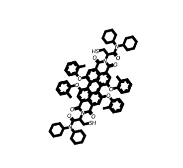 Cc1ccccc1Oc1cc2c3c(cc(Oc4ccccc4C)c4c5c(Oc6ccccc6C)cc6c7c(cc(Oc8ccccc8C)c(c1c34)c75)C(=O)N(C(CS)C(=O)N(C1CCCCC1)C1CCCCC1)C6=O)C(=O)N(C(CS)C(=O)N(C1CCCCC1)C1CCCCC1)C2=O